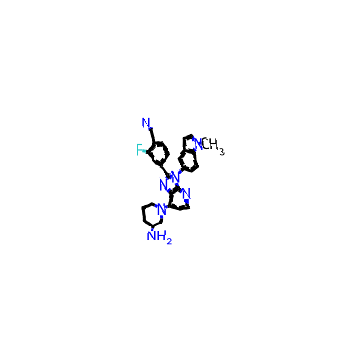 Cn1ccc2cc(-n3c(-c4ccc(C#N)c(F)c4)nc4c(N5CCCC(N)C5)ccnc43)ccc21